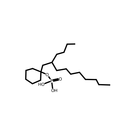 CCCCCCCCC(CCCC)CC1(OP(=O)(O)O)CCCCC1